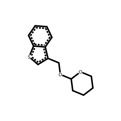 c1ccc2c(COC3CCCCO3)csc2c1